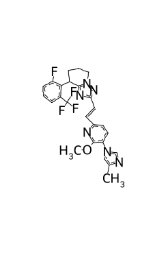 COc1nc(C=Cc2nc3n(n2)CCCC3c2c(F)cccc2C(F)(F)F)ccc1-n1cnc(C)c1